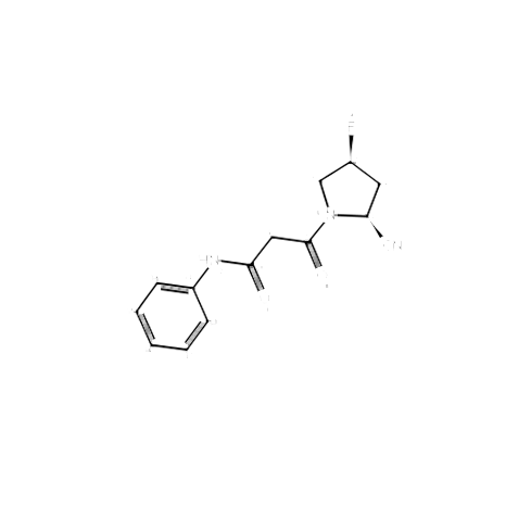 N#C[C@@H]1C[C@H](F)CN1C(=O)CC(=O)Nc1ccccc1